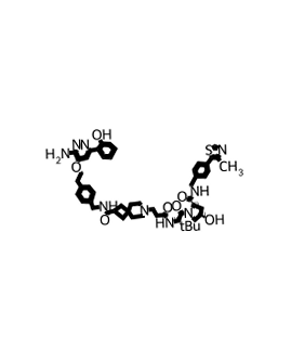 Cc1ncsc1-c1ccc(CNC(=O)[C@@H]2C[C@@H](O)CN2C(=O)[C@@H](NC(=O)CCN2CCC3(CC2)CC(C(=O)NCc2ccc(CCOc4cc(-c5ccccc5O)nnc4N)cc2)C3)C(C)(C)C)cc1